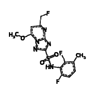 COc1cc(CF)nc2nc(S(=O)(=O)Nc3c(F)ccc(C)c3F)nn12